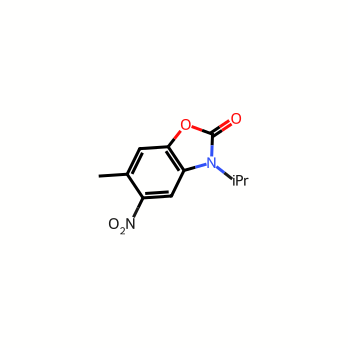 Cc1cc2oc(=O)n(C(C)C)c2cc1[N+](=O)[O-]